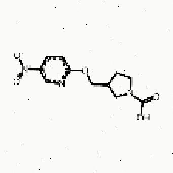 O=C(O)N1CCC(COc2ccc([N+](=O)[O-])cn2)C1